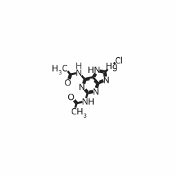 CC(=O)Nc1nc(NC(C)=O)c2[nH][c]([Hg][Cl])nc2n1